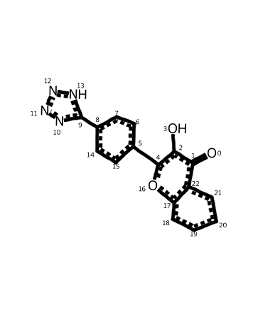 O=c1c(O)c(-c2ccc(-c3nnn[nH]3)cc2)oc2ccccc12